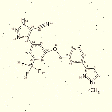 Cn1ccc(-c2cccc(COc3cc(-c4nn[nH]c4C#N)cc(C(F)(F)F)c3)c2)n1